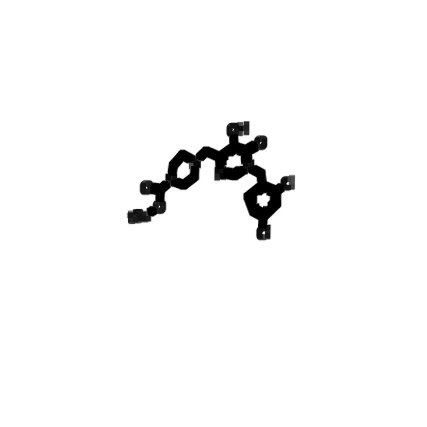 CC(C)(C)OC(=O)N1CCN(Cc2ncn(Cc3ccc(Cl)cc3Cl)c(=O)c2O)CC1